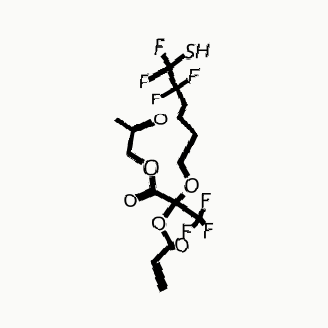 C=CC(=O)OC(OCCCCC(F)(F)C(F)(F)S)(C(=O)OCC(C)=O)C(F)(F)F